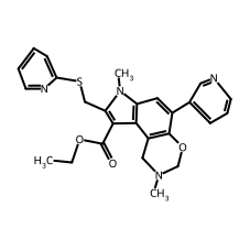 CCOC(=O)c1c(CSc2ccccn2)n(C)c2cc(-c3cccnc3)c3c(c12)CN(C)CO3